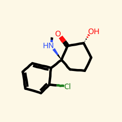 CN[C@]1(c2ccccc2Cl)CCC[C@@H](O)C1=O